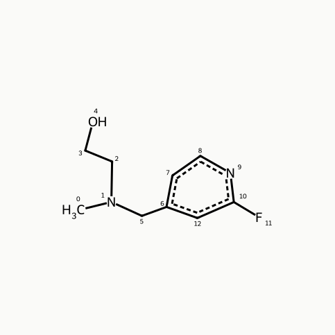 CN(CCO)Cc1ccnc(F)c1